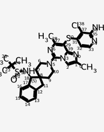 Cc1cn2c(N3CCC4(CC3)Cc3ccccc3[C@H]4N[S@+]([O-])C(C)(C)C)nc(C)c(Sc3ccnc(N)c3Cl)c2n1